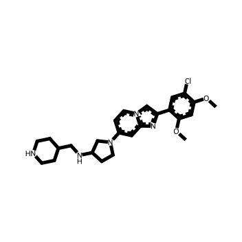 COc1cc(OC)c(-c2cn3ccc(N4CCC(NCC5CCNCC5)C4)cc3n2)cc1Cl